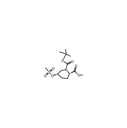 COC(=O)[C@H]1CC[C@@H](OS(C)(=O)=O)CN1C(=O)OC(C)(C)C